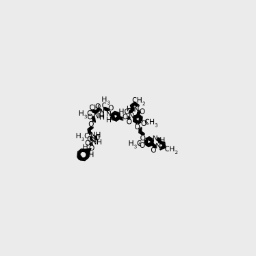 C=C1C[C@H]2C=Nc3cc(OCCCOc4cc5c(cc4OC)C(=O)N4CC(=C)C[C@H]4[C@H](O)N5C(=O)OCc4ccc(NC(=O)[C@H](C)NC(=O)[C@@H](NC(=O)COCCC(C)NS(=O)(=O)NC(=O)O[C@@H]5[C@@H]6CCC#CCC[C@@H]65)C(C)C)cc4)c(OC)cc3C(=O)N2C1